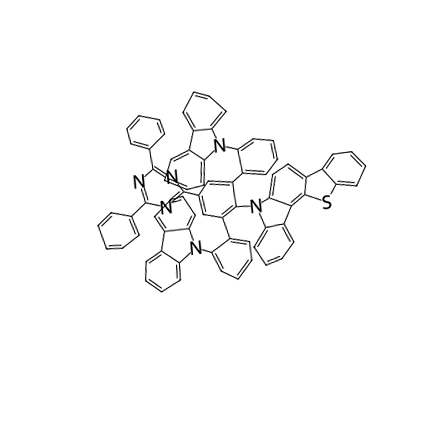 c1ccc(-c2nc(-c3ccccc3)nc(-c3cc(-c4ccccc4-n4c5ccccc5c5ccccc54)c(-n4c5ccccc5c5c6sc7ccccc7c6ccc54)c(-c4ccccc4-n4c5ccccc5c5ccccc54)c3)n2)cc1